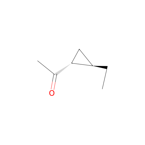 CC[C@@H]1C[C@H]1C(C)=O